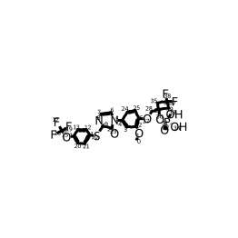 COc1cc(-n2ccnc(Sc3ccc(OC(F)(F)F)cc3)c2=O)ccc1OCC1(OP(=O)(O)O)CC(F)(F)C1